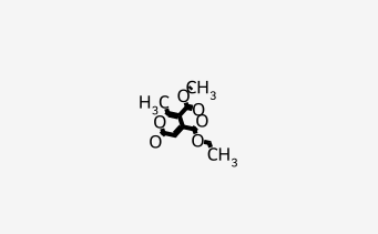 CCOC(=O)c1cc(=O)oc(C)c1C(=O)OC